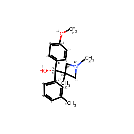 Cc1cccc([C@@](O)(c2ccc(OC(F)(F)F)cc2)C2(C)CN(C)C2)c1